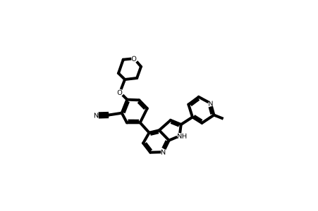 Cc1cc(-c2cc3c(-c4ccc(OC5CCOCC5)c(C#N)c4)ccnc3[nH]2)ccn1